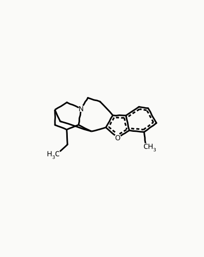 CCC1CC2CC3c4oc5c(C)cccc5c4CCN(C2)C13